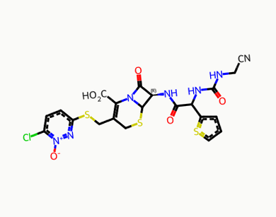 N#CCNC(=O)NC(C(=O)N[C@@H]1C(=O)N2C(C(=O)O)=C(CSc3ccc(Cl)[n+]([O-])n3)CSC12)c1cccs1